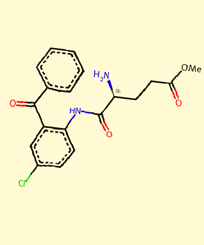 COC(=O)CC[C@H](N)C(=O)Nc1ccc(Cl)cc1C(=O)c1ccccc1